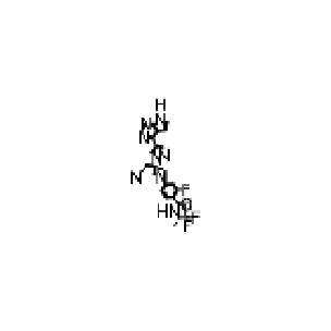 C[C@@H](NC(=O)c1ccc(N2CC(CC#N)(n3cc(-c4ncnc5[nH]ccc45)cn3)C2)cc1F)C(F)(F)F